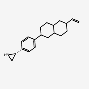 C=CC1CCC2CC(c3ccc([C@@H]4CN4)cc3)CCC2C1